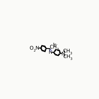 C/C(=N\c1ccc(N(C)C)cc1)c1ccc([N+](=O)[O-])cc1.[Ir]